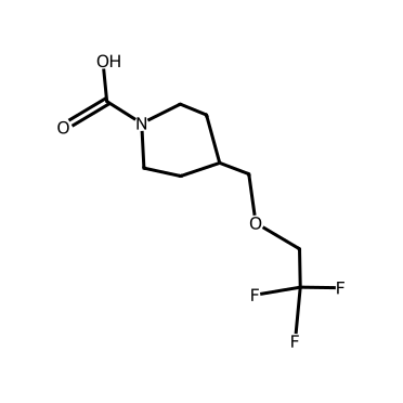 O=C(O)N1CCC(COCC(F)(F)F)CC1